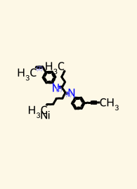 CC#Cc1cccc(/N=C(CCCCC)/C(CCCC)=N/c2ccc(/C=C\C)cc2)c1.[Ni]